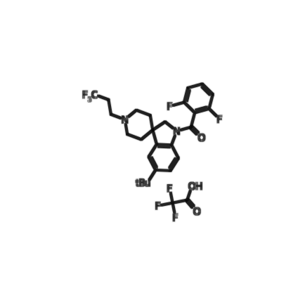 CC(C)(C)c1ccc2c(c1)C1(CCN(CCC(F)(F)F)CC1)CN2C(=O)c1c(F)cccc1F.O=C(O)C(F)(F)F